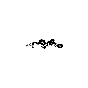 COC(=O)/C=C/c1cccc(N(CC23CCC(c4nc5ccccc5s4)(CC2)CC3)C(=O)C2CC2)c1